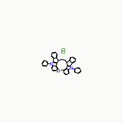 [Cl-].[Cl-].c1ccc(-n2c3c4c5[c](cccc52)[Zr+2][c]2cccc5c2c2c(n5-c5ccccc5)-c5ccccc5C2CCC4c2ccccc2-3)cc1